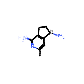 Cc1cc2c(c(N)n1)CC[C@H]2N